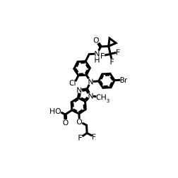 Cn1c(N(c2ccc(Br)cc2)c2cc(CNC(=O)C3(C(F)(F)F)CC3)ccc2Cl)nc2cc(C(=O)O)c(OCC(F)F)cc21